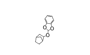 c1ccc2c(c1)OC(OC1CC3CCC1C3)O2